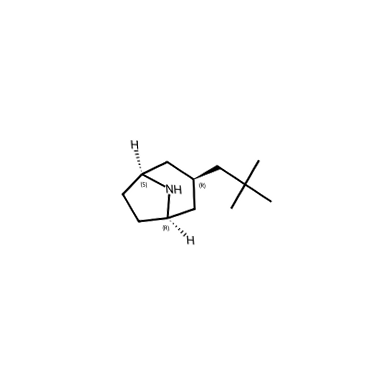 CC(C)(C)C[C@H]1C[C@H]2CC[C@@H](C1)N2